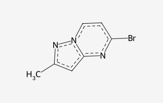 Cc1cc2nc(Br)ccn2n1